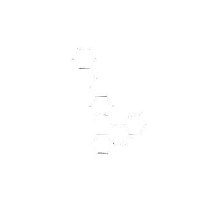 Cl.Cl.O=C(O)c1ccccc1Nc1ccc(C(F)(F)F)cc1Nc1ccc(CNC2CCNCC2)cc1C(=O)O